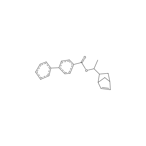 CC(OC(=O)c1ccc(-c2ccccc2)cc1)C1CC2C=CC1C2